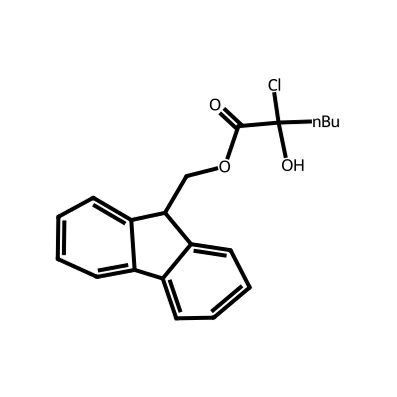 CCCCC(O)(Cl)C(=O)OCC1c2ccccc2-c2ccccc21